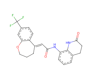 O=C(C=C1CCCOc2cc(C(F)(F)F)ccc21)Nc1cccc2c1NC(=O)CC2